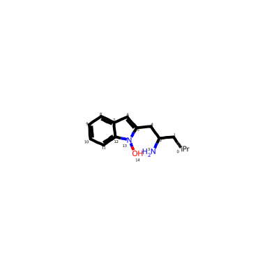 CC(C)CC(N)Cc1cc2ccccc2n1O